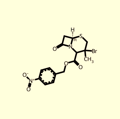 CC1(Br)CS[C@@H]2CC(=O)N2C1C(=O)OCc1ccc([N+](=O)[O-])cc1